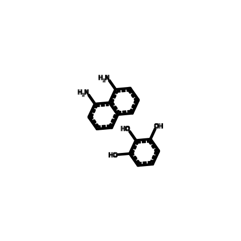 Nc1cccc2cccc(N)c12.Oc1cccc(O)c1O